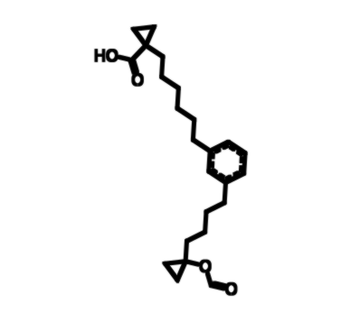 O=COC1(CCCCc2cccc(CCCCCCC3(C(=O)O)CC3)c2)CC1